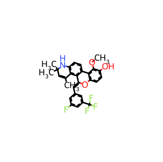 COc1c(O)ccc2c1-c1ccc3c(c1/C(=C/c1cc(F)cc(C(F)(F)F)c1)O2)C(C)=CC(C)(C)N3